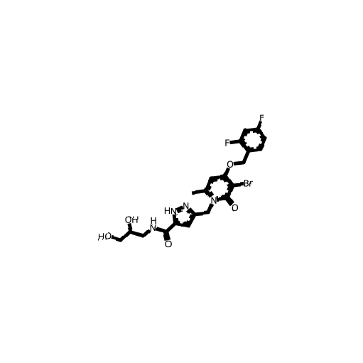 Cc1cc(OCc2ccc(F)cc2F)c(Br)c(=O)n1Cc1cc(C(=O)NCC(O)CO)[nH]n1